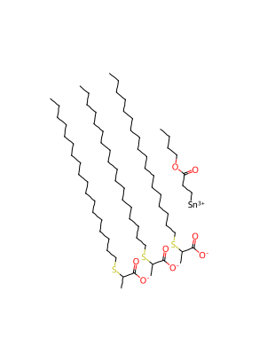 CCCCCCCCCCCCCCCCCCSC(C)C(=O)[O-].CCCCCCCCCCCCCCCCCCSC(C)C(=O)[O-].CCCCCCCCCCCCCCCCCCSC(C)C(=O)[O-].CCCCOC(=O)C[CH2][Sn+3]